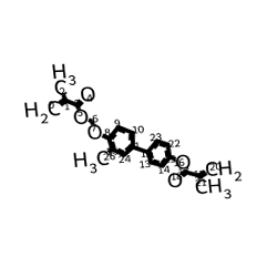 C=C(C)C(=O)OCOc1ccc(-c2ccc(OC(=O)C(=C)C)cc2)cc1C